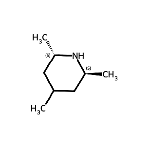 CC1C[C@H](C)N[C@@H](C)C1